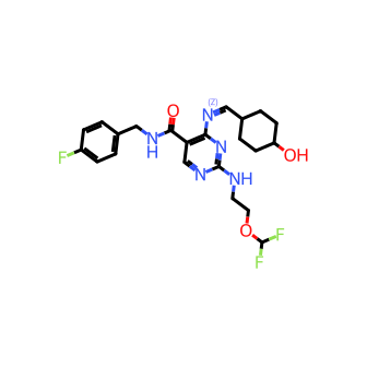 O=C(NCc1ccc(F)cc1)c1cnc(NCCOC(F)F)nc1/N=C\C1CCC(O)CC1